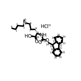 CCCCN(C)CCC[C@H](NC(=O)OCC1c2ccccc2-c2ccccc21)C(=O)O.Cl